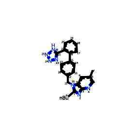 CCCCc1nc2ncc(C)cc2n1Cc1ccc(-c2ccccc2-c2nnn[nH]2)cc1